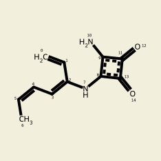 C=C/C(=C\C=C/C)Nc1c(N)c(=O)c1=O